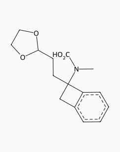 CN(C(=O)O)C1(CCC2OCCO2)Cc2ccccc21